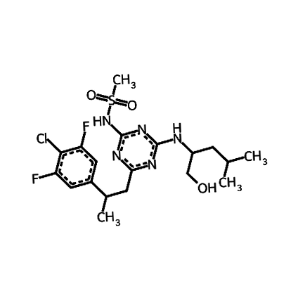 CC(C)CC(CO)Nc1nc(CC(C)c2cc(F)c(Cl)c(F)c2)nc(NS(C)(=O)=O)n1